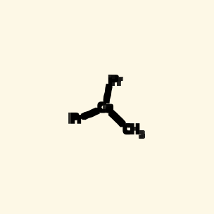 C[CH](C)[Ga]([CH3])[CH](C)C